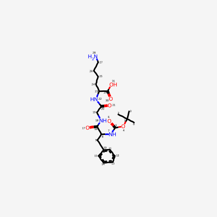 CC(C)(C)OC(=O)NC(Cc1ccccc1)C(=O)NCC(=O)NC(CCCCN)C(=O)O